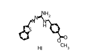 COC(=O)c1ccc(CNC(N)=NN=Cc2cc3ccccc3s2)cc1.I